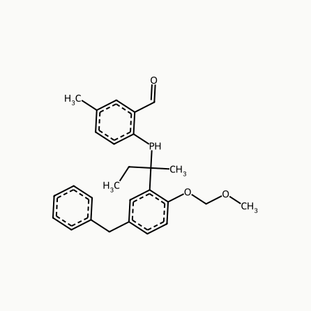 CCC(C)(Pc1ccc(C)cc1C=O)c1cc(Cc2ccccc2)ccc1OCOC